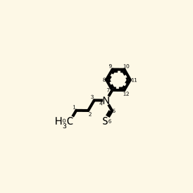 CCCCN(C=S)c1ccccc1